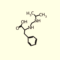 CC(C)NCNC(Cc1ccccc1)C(=O)O